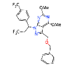 COc1nc(OC)c2c(COCc3ccccc3)nn(C(CC(F)(F)F)c3ccc(C(F)(F)F)cc3)c2n1